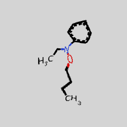 CCCCON(CC)c1ccccc1